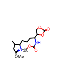 COC1=NC(CCCC(NC(=O)OC(C)(C)C)C2COC(=O)O2)C(C)C1